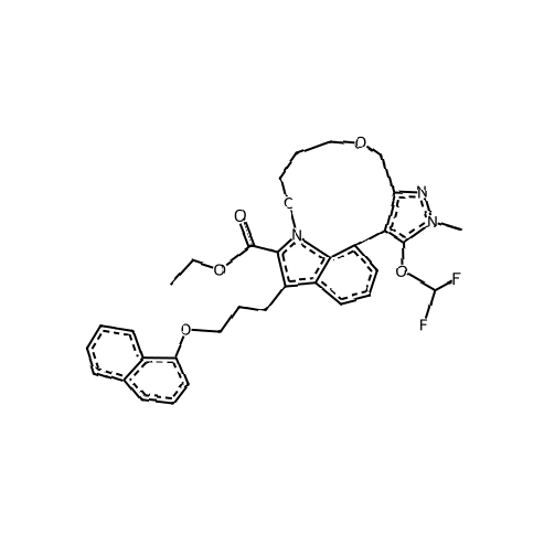 CCOC(=O)c1c(CCCOc2cccc3ccccc23)c2cccc3c2n1CCCCOCc1nn(C)c(OC(F)F)c1-3